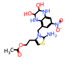 CC(=O)OCCC1=CSC(N)N1Cc1cc([N+](=O)[O-])cc2c1NC(O)C(O)N2